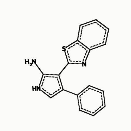 Nc1[nH]cc(-c2ccccc2)c1-c1nc2ccccc2s1